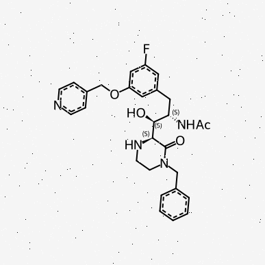 CC(=O)N[C@@H](Cc1cc(F)cc(OCc2ccncc2)c1)[C@H](O)[C@@H]1NCCN(Cc2ccccc2)C1=O